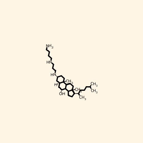 CC(C)CCCC(C)[C@H]1CCC2C3C(CC[C@@]21C)[C@@]1(C)CC[C@@H](NCCCNCCCCN)C[C@@H]1C[C@H]3O